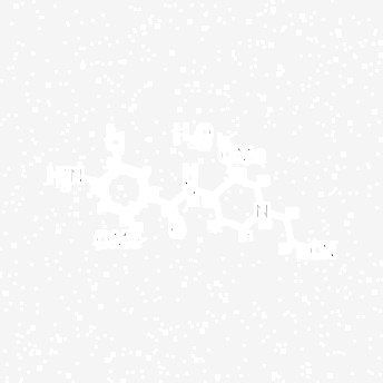 COc1cc(N)c(Cl)cc1C(=O)NC1CCN(CCC#N)CC1OC.O